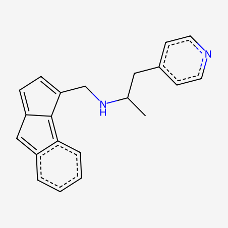 CC(Cc1ccncc1)NCC1=CC=C2C=c3ccccc3=C21